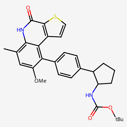 COc1cc(C)c2[nH]c(=O)c3sccc3c2c1-c1ccc(C2CCCC2NC(=O)OC(C)(C)C)cc1